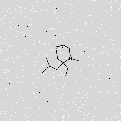 CCC1(CC(C)C)CCCCN1C